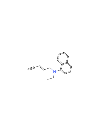 [C]#CC=CCN(CC)c1cccc2ccccc12